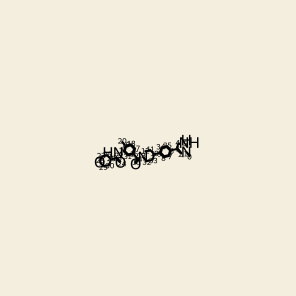 CN/C=C(\C=N)c1ccc(C2CCN(C(=O)c3ccc(C)c(NC(=O)C4CCOCC4)c3)CC2)cc1